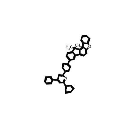 CC1(C)c2ccc(-c3ccc(-c4cc(-c5ccccc5)cc(-c5ccccc5)n4)cc3)cc2-c2ccc3oc4ccccc4c3c21